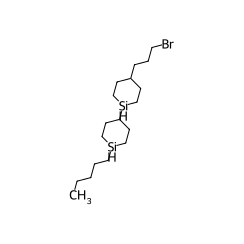 CCCCC[SiH]1CCC([SiH]2CCC(CCCBr)CC2)CC1